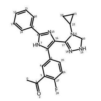 CC(=O)c1cc(-c2[nH]c(-c3ccccc3)nc2C2=NNCN2C2CC2)ccc1F